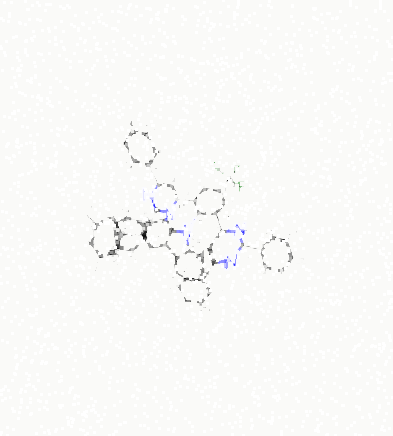 Cc1cc(C)cc(-c2ccc3c(c2)c2ccccc2n3-c2c(-c3cc(-c4ccccc4)nc(-c4ccccc4)n3)cc(C(F)(F)F)cc2-c2cc(-c3ccccc3)nc(-c3ccccc3)n2)c1